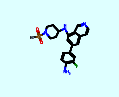 CCS(=O)(=O)N1CCC(Nc2cc(-c3ccc(N)c(F)c3)cc3ccncc23)CC1